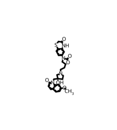 COc1ccc2ccc(=O)n(C[C@@]3(O)CCN(CCC4CN(c5ccc6c(c5)NC(=O)CS6)C(=O)O4)C3)c2c1